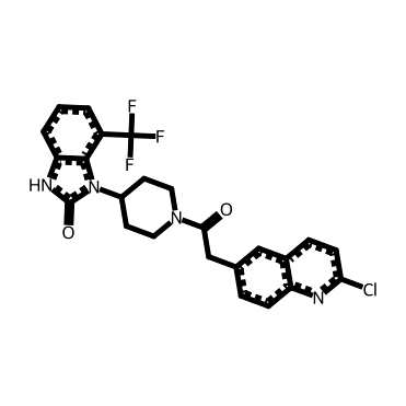 O=C(Cc1ccc2nc(Cl)ccc2c1)N1CCC(n2c(=O)[nH]c3cccc(C(F)(F)F)c32)CC1